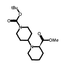 COC(=O)[C@H]1CCCCN1C1CCN(C(=O)OC(C)(C)C)CC1